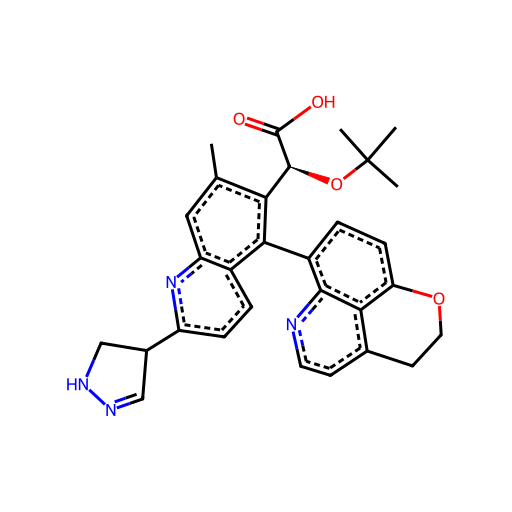 Cc1cc2nc(C3C=NNC3)ccc2c(-c2ccc3c4c(ccnc24)CCO3)c1[C@H](OC(C)(C)C)C(=O)O